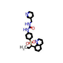 C=CC(c1cccc2cccnc12)S(=O)(=O)c1ccc(NC(=O)NCc2cccnc2)cc1